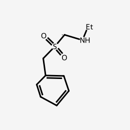 CCN[CH]S(=O)(=O)Cc1ccccc1